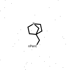 CCCCCCC12CCN(CC1)C2